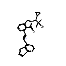 CC(C)(O)C(C1CC1)N1Cc2cccc(/C=C/c3ccnc4c3CCC4)c2C1=O